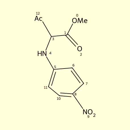 COC(=O)C(Nc1ccc([N+](=O)[O-])cc1)C(C)=O